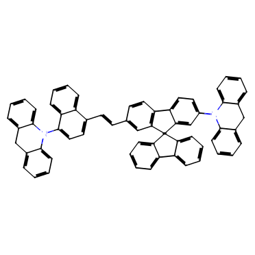 C(=C\c1ccc(N2c3ccccc3Cc3ccccc32)c2ccccc12)/c1ccc2c(c1)C1(c3ccccc3-c3ccccc31)c1cc(N3c4ccccc4Cc4ccccc43)ccc1-2